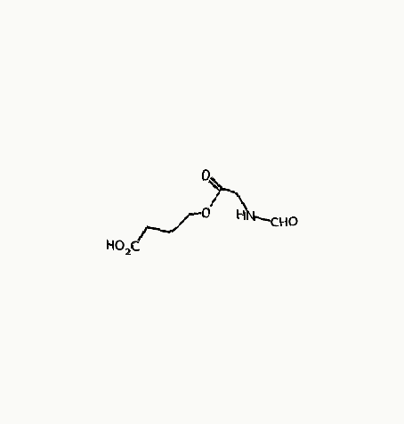 O=CNCC(=O)OCCCC(=O)O